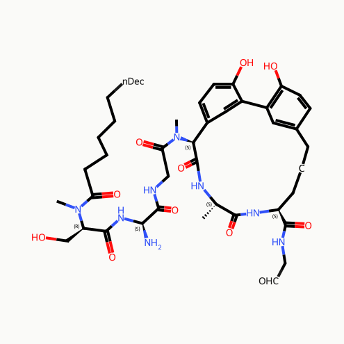 CCCCCCCCCCCCCCCC(=O)N(C)[C@H](CO)C(=O)N[C@H](N)C(=O)NCC(=O)N(C)[C@@H]1C(=O)N[C@@H](C)C(=O)N[C@H](C(=O)NCC=O)CCCc2ccc(O)c(c2)-c2cc1ccc2O